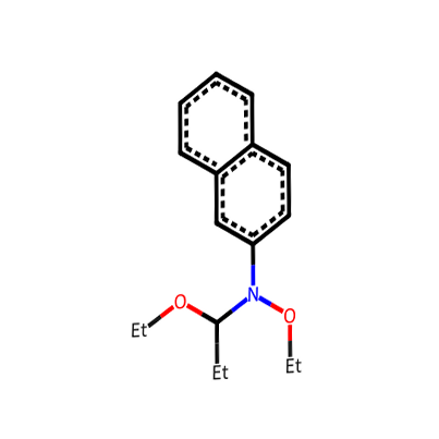 CCOC(CC)N(OCC)c1ccc2ccccc2c1